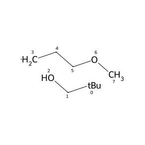 [CH2]C(C)(C)CO.[CH2]CCOC